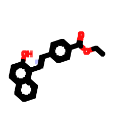 CCOC(=O)c1ccc(/C=C/c2c(O)ccc3ccccc23)cc1